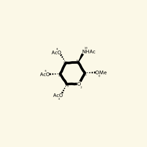 CO[C@@H]1O[C@H](OC(C)=O)[C@H](OC(C)=O)[C@H](OC(C)=O)[C@H]1NC(C)=O